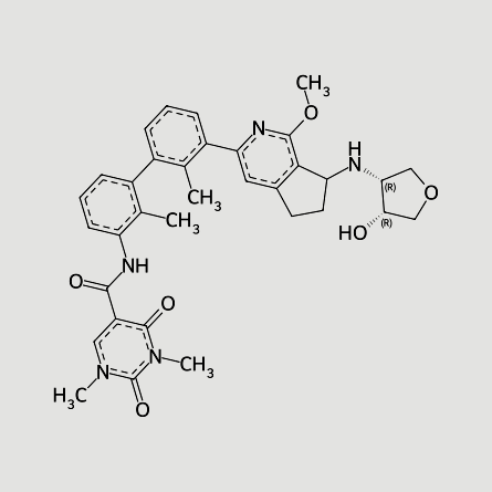 COc1nc(-c2cccc(-c3cccc(NC(=O)c4cn(C)c(=O)n(C)c4=O)c3C)c2C)cc2c1C(N[C@@H]1COC[C@@H]1O)CC2